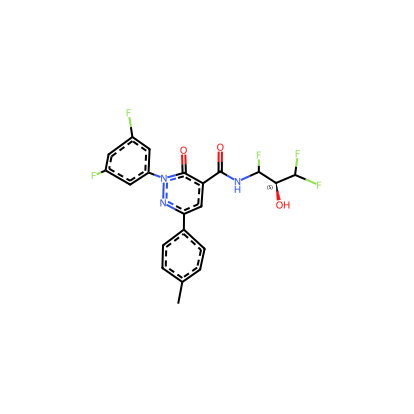 Cc1ccc(-c2cc(C(=O)NC(F)[C@H](O)C(F)F)c(=O)n(-c3cc(F)cc(F)c3)n2)cc1